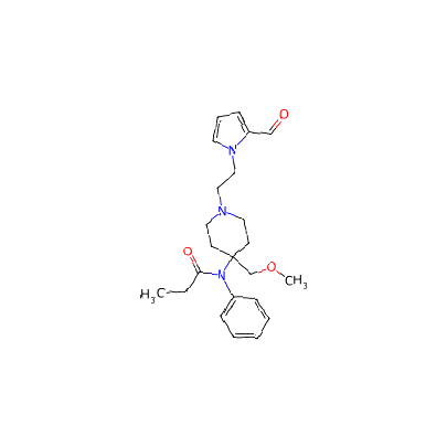 CCC(=O)N(c1ccccc1)C1(COC)CCN(CCn2cccc2C=O)CC1